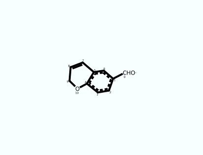 O=[C]c1ccc2c(c1)C=CCO2